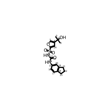 CC(C)(O)c1coc(S(=O)(=O)NC(=O)Nc2ccc3c(c2)CCC3)c1